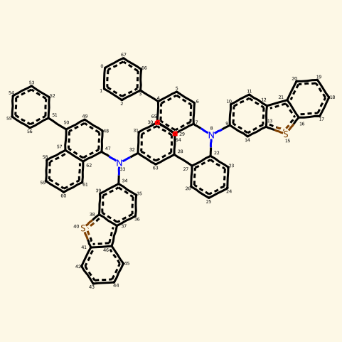 c1ccc(-c2ccc(N(c3ccc4c(c3)sc3ccccc34)c3ccccc3-c3cccc(N(c4ccc5c(c4)sc4ccccc45)c4ccc(-c5ccccc5)c5ccccc45)c3)cc2)cc1